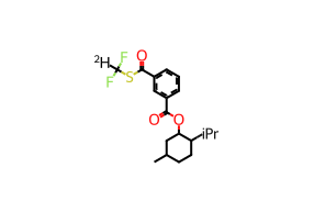 [2H]C(F)(F)SC(=O)c1cccc(C(=O)OC2CC(C)CCC2C(C)C)c1